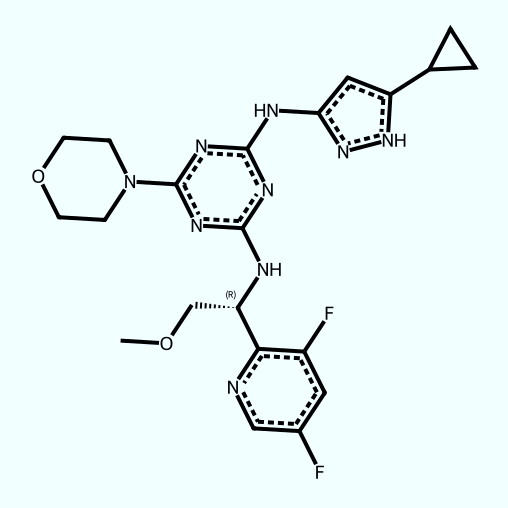 COC[C@H](Nc1nc(Nc2cc(C3CC3)[nH]n2)nc(N2CCOCC2)n1)c1ncc(F)cc1F